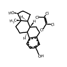 C[C@]12CC[C@@H]3c4ccc(O)cc4CC[C@H]3[C@@H]1CC[C@@H]2O.ClC(Cl)=C(Cl)Cl